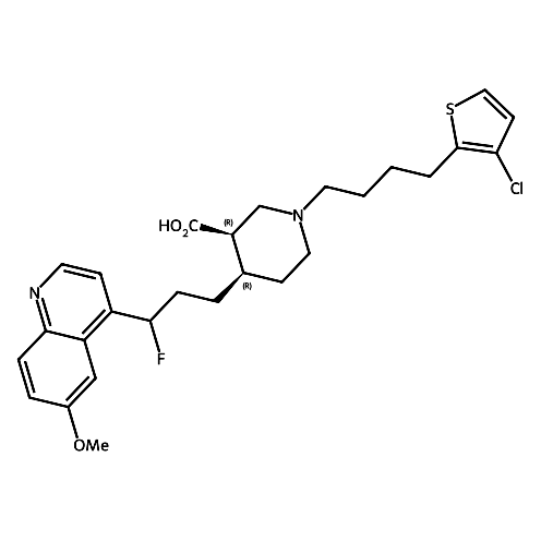 COc1ccc2nccc(C(F)CC[C@@H]3CCN(CCCCc4sccc4Cl)C[C@@H]3C(=O)O)c2c1